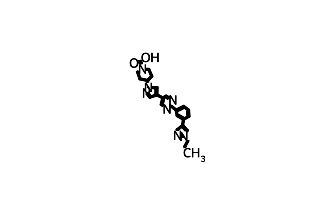 CCCn1cc(-c2cccc(-c3ncc(-c4cnn(C5CCN(C(=O)O)CC5)c4)cn3)c2)cn1